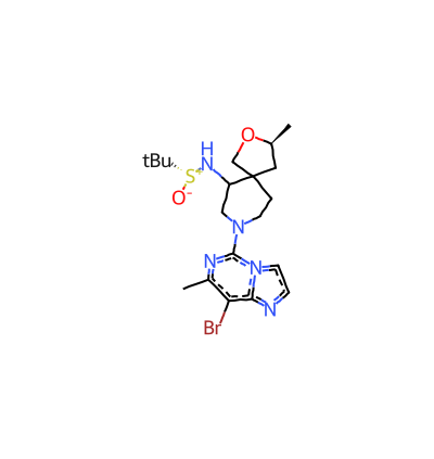 Cc1nc(N2CCC3(CO[C@@H](C)C3)C(N[S@+]([O-])C(C)(C)C)C2)n2ccnc2c1Br